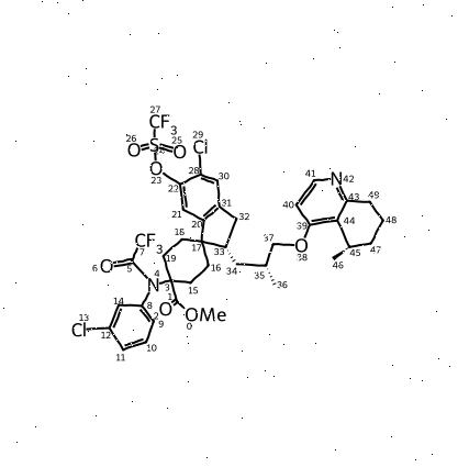 COC(=O)C1(N(C(=O)C(F)(F)F)c2cccc(Cl)c2)CCC2(CC1)c1cc(OS(=O)(=O)C(F)(F)F)c(Cl)cc1C[C@@H]2C[C@@H](C)COc1ccnc2c1[C@H](C)CCC2